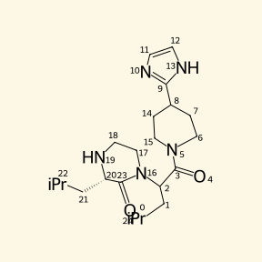 CC(C)CC(C(=O)N1CCC(c2ncc[nH]2)CC1)N1CCN[C@@H](CC(C)C)C1=O